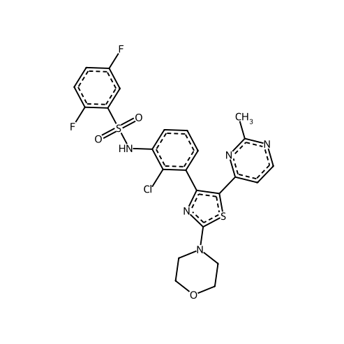 Cc1nccc(-c2sc(N3CCOCC3)nc2-c2cccc(NS(=O)(=O)c3cc(F)ccc3F)c2Cl)n1